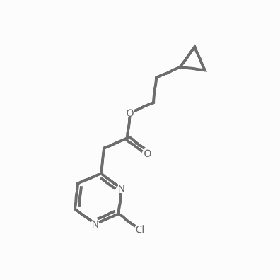 O=C(Cc1ccnc(Cl)n1)OCCC1CC1